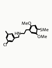 COc1cc(SC)c(OC)cc1CCNCc1cc(C)cc(Cl)c1